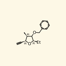 C#C[C@@H]1O[C@H](CC)C(OCc2ccccc2)[C@@H]1C